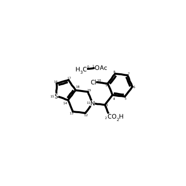 COC(C)=O.O=C(O)C(c1ccccc1Cl)N1CCc2sccc2C1